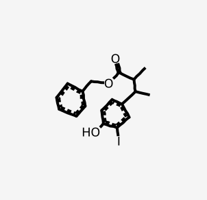 CC(C(=O)OCc1ccccc1)C(C)c1ccc(O)c(I)c1